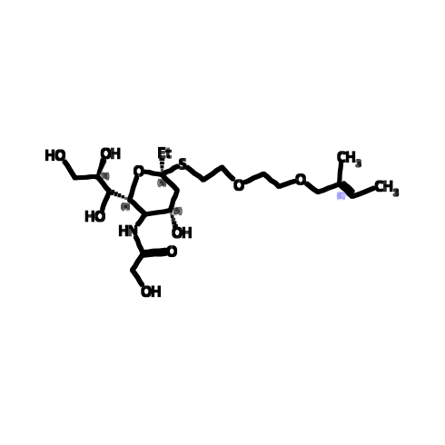 C/C=C(\C)COCCOCCS[C@@]1(CC)C[C@H](O)C(NC(=O)CO)[C@H](C(O)[C@H](O)CO)O1